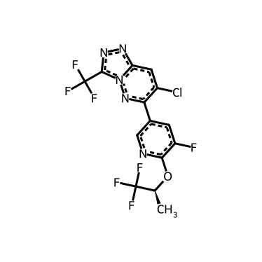 C[C@H](Oc1ncc(-c2nn3c(C(F)(F)F)nnc3cc2Cl)cc1F)C(F)(F)F